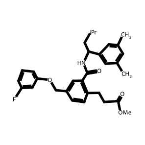 COC(=O)CCc1ccc(COc2cccc(F)c2)cc1C(=O)NC(CC(C)C)c1cc(C)cc(C)c1